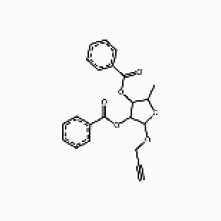 C#CCOC1OC(C)C(OC(=O)c2ccccc2)C1OC(=O)c1ccccc1